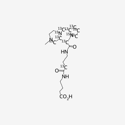 CN1CC[15N]([13CH2][13CH]2[13CH2][13CH2][13CH2][15N]2[13CH2]C(=O)NCC[13CH2]C(=O)NCCCC(=O)O)[13CH2][13CH2]1